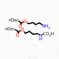 CCCCCCCCCCC(=O)OCCCCN.CCCCCCCCCCC(=O)OCCCCNC(=O)O